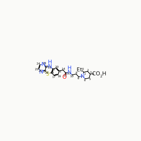 CCC1CC(C(=O)O)CCN1CCCNC(=O)Cc1ccc2c(c1)Nc1nccnc1S2